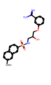 COc1ccc2ccc(S(=O)(=O)NCC(O)COc3cccc(C(=N)N)c3)cc2c1